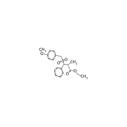 CCOC(=O)C(C)C(c1ccccc1)S(=O)(=O)Cc1ccc(OC)cc1